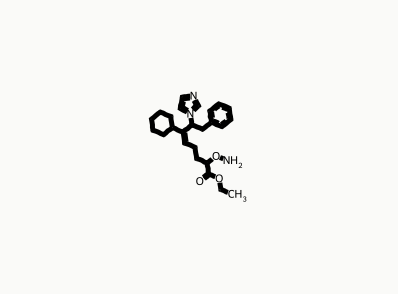 CCOC(=O)C(CCC=C(C1CCCCC1)C(Cc1ccccc1)n1ccnc1)ON